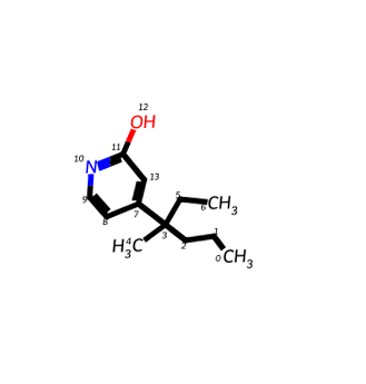 CCCC(C)(CC)c1ccnc(O)c1